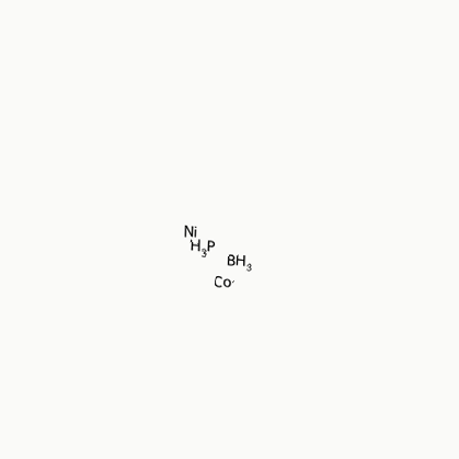 B.P.[Co].[Ni]